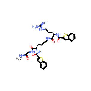 CNC(=O)CNC(=O)[C@@H](CCCCNC(=O)[C@H](CCCNC(=N)N)NC(=O)c1cc2ccccc2s1)NC(=O)c1cc2ccccc2s1